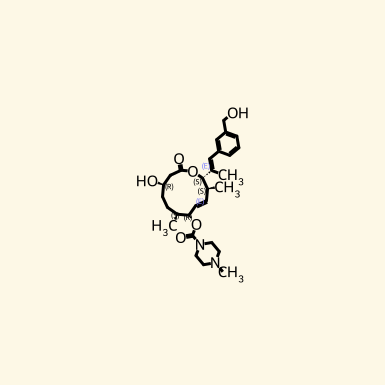 C/C(=C\c1cccc(CO)c1)[C@H]1OC(=O)C[C@H](O)CC[C@H](C)[C@@H](OC(=O)N2CCN(C)CC2)/C=C/[C@@H]1C